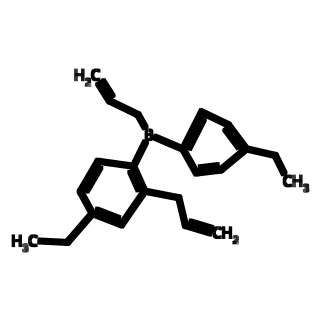 C=CCB(c1ccc(CC)cc1)c1ccc(CC)cc1CC=C